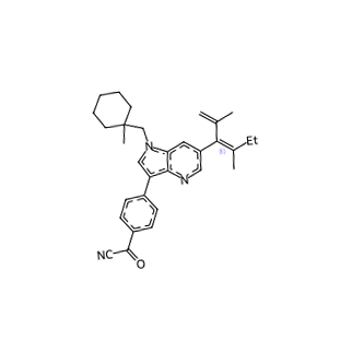 C=C(C)/C(=C(/C)CC)c1cnc2c(-c3ccc(C(=O)C#N)cc3)cn(CC3(C)CCCCC3)c2c1